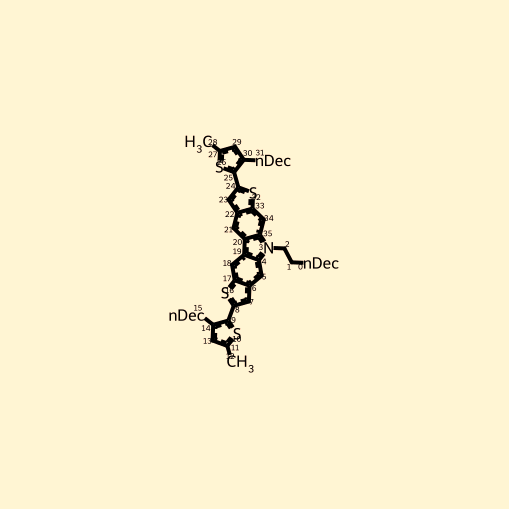 CCCCCCCCCCCCn1c2cc3cc(-c4sc(C)cc4CCCCCCCCCC)sc3cc2c2cc3cc(-c4sc(C)cc4CCCCCCCCCC)sc3cc21